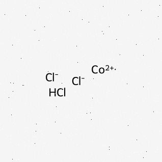 Cl.[Cl-].[Cl-].[Co+2]